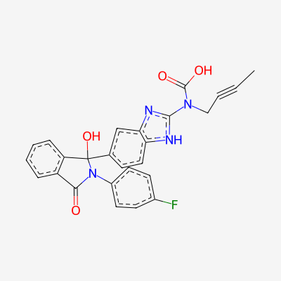 CC#CCN(C(=O)O)c1nc2cc(C3(O)c4ccccc4C(=O)N3c3ccc(F)cc3)ccc2[nH]1